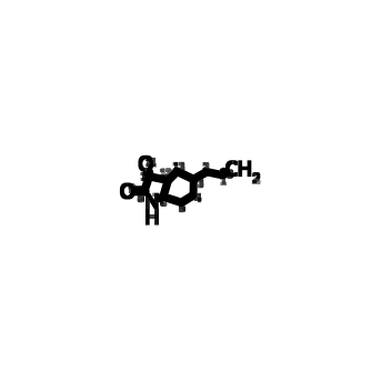 C=CCC1CCC2NC(=O)C(=O)C2C1